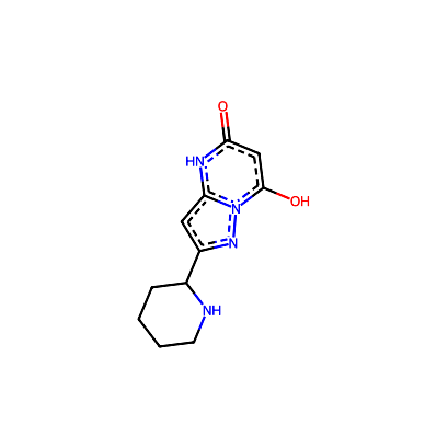 O=c1cc(O)n2nc(C3CCCCN3)cc2[nH]1